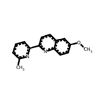 COc1ccc2nc(-c3cccc(C)n3)ccc2c1